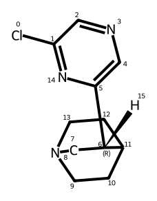 Clc1cncc([C@H]2CN3CCC2CC3)n1